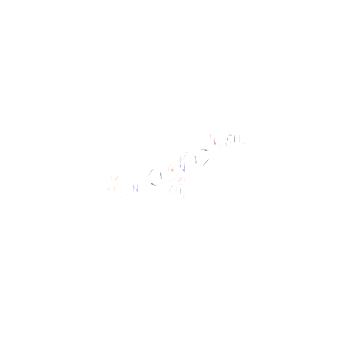 COC(=O)c1ccc(CNS(=O)(=O)C(C)c2cccc(CN3CCS(=O)(=O)CC3)c2)c(F)c1